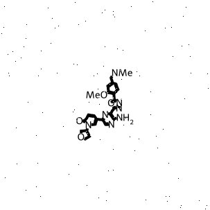 CNCc1ccc(-c2nnc(-c3nc(-c4ccc(=O)n(C5CCOC5)c4)cnc3N)o2)c(OC)c1